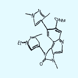 CCn1cc(-n2c(=O)n(C)c3cnc4cc(OC)c(-c5cn(C)nc5C)cc4c32)c(C)n1